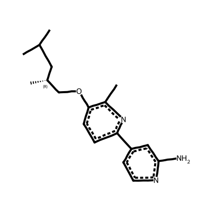 Cc1nc(-c2ccnc(N)c2)ccc1OC[C@H](C)CC(C)C